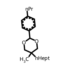 CCCCCCCC1(C)COC(c2ccc(CCC)cc2)OC1